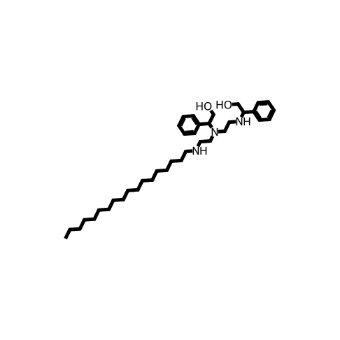 CCCCCCCCCCCCCCCCCCNCCN(CCNC(CO)c1ccccc1)C(CO)c1ccccc1